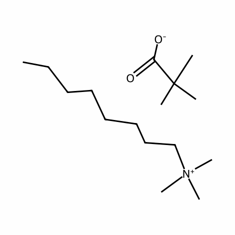 CC(C)(C)C(=O)[O-].CCCCCCCC[N+](C)(C)C